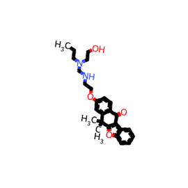 CCCN(CCO)CNCCOc1ccc2c(c1)C(C)(C)c1oc3ccccc3c1C2=O